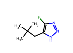 CC(C)(C)Cc1[nH]nnc1F